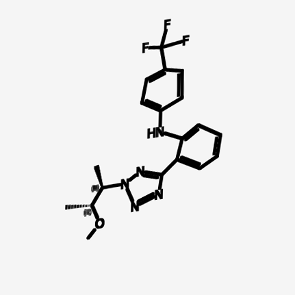 CO[C@H](C)[C@@H](C)n1nnc(-c2ccccc2Nc2ccc(C(F)(F)F)cc2)n1